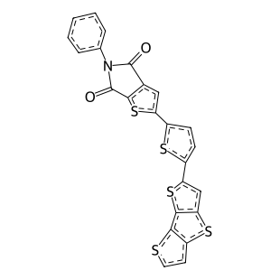 O=C1c2cc(-c3ccc(-c4cc5sc6ccsc6c5s4)s3)sc2C(=O)N1c1ccccc1